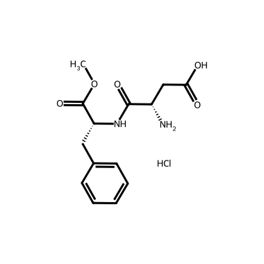 COC(=O)[C@@H](Cc1ccccc1)NC(=O)[C@@H](N)CC(=O)O.Cl